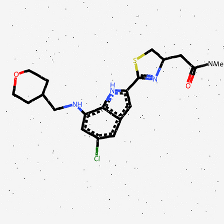 CNC(=O)CC1CSC(c2cc3cc(Cl)cc(NCC4CCOCC4)c3[nH]2)=N1